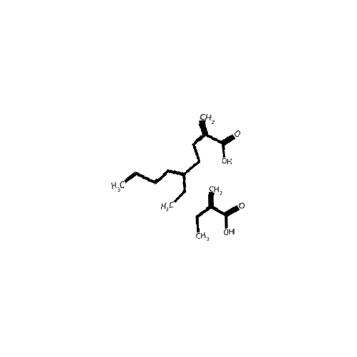 C=C(CC)C(=O)O.C=C(CCC(CC)CCCC)C(=O)O